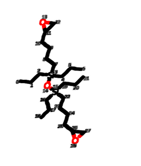 CCC[Si](CCC)(CCCCC1CO1)O[Si](CCC)(CCC)CCCCC1CO1